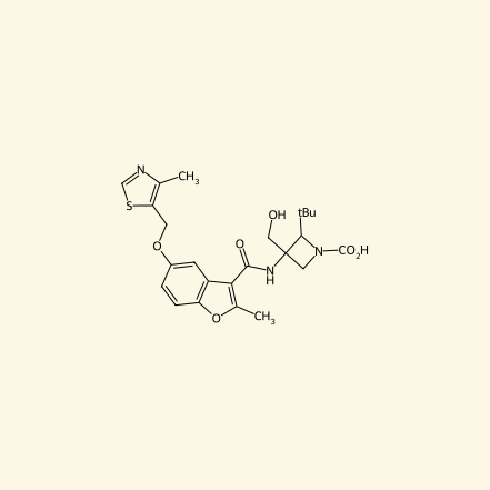 Cc1ncsc1COc1ccc2oc(C)c(C(=O)NC3(CO)CN(C(=O)O)C3C(C)(C)C)c2c1